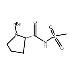 CCCCN1CCC[C@H]1C(=O)NS(C)(=O)=O